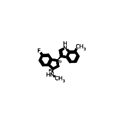 CN[C@@H]1C[C@H](c2c[nH]c3c(C)cccc23)c2cc(F)ccc21